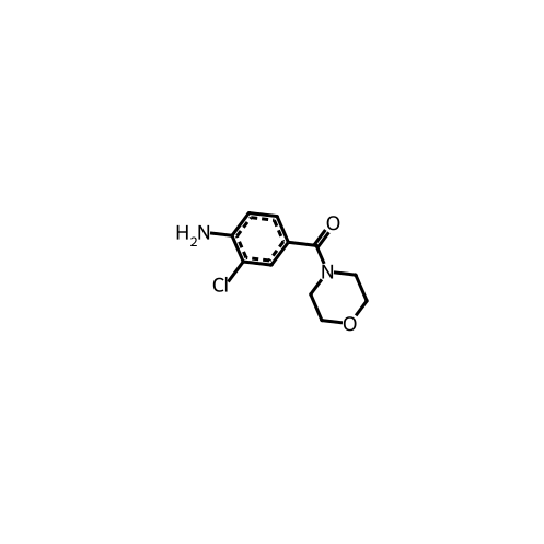 Nc1ccc(C(=O)N2CCOCC2)cc1Cl